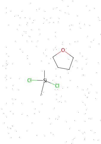 C1CCOC1.C[Si](C)(Cl)Cl